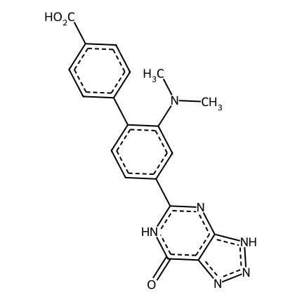 CN(C)c1cc(-c2nc3[nH]nnc3c(=O)[nH]2)ccc1-c1ccc(C(=O)O)cc1